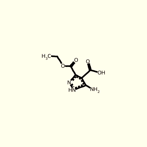 CCOC(=O)c1n[nH]c(N)c1C(=O)O